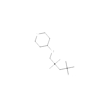 CCCCCCCCC(C)(C)CC(C)(C)CNC1CCNCC1